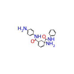 Nc1ccc(NC(=O)C2=CC=CC(N)(C(=O)Nc3ccccc3)C2)cc1